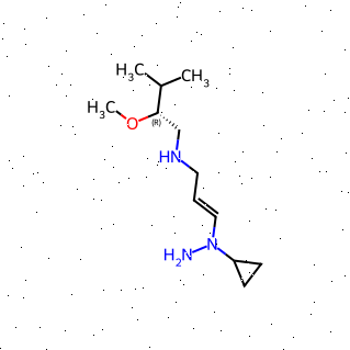 CO[C@@H](CNCC=CN(N)C1CC1)C(C)C